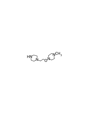 CN1CCN(OCCN2CCNCC2)CC1